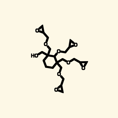 OCC1(COCC2CO2)CCCC(COCC2CO2)(COCC2CO2)C1OCC1CO1